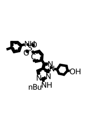 CCCCNc1ncc2c(-c3ccc(S(=O)(=O)Nc4ccc(C)cc4)cc3)nn(C3CCC(O)CC3)c2n1